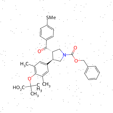 CSc1ccc(C(=O)[C@@H]2CN(C(=O)OCc3ccccc3)C[C@H]2c2cc(C)c(OC(C)(C)C(=O)O)c(C)c2)cc1